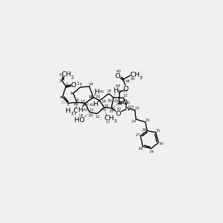 C=CC(=O)/C=C\[C@@]1(C)CCC[C@@H]2[C@@H]1[C@@H](O)C[C@@]1(C)[C@H]2C[C@H]2CN(CCCc3ccccc3)O[C@]21C(=O)COC(C)=O